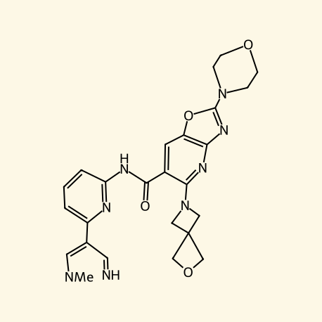 CN/C=C(\C=N)c1cccc(NC(=O)c2cc3oc(N4CCOCC4)nc3nc2N2CC3(COC3)C2)n1